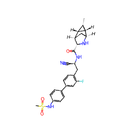 C[C@H]1[C@H]2[C@H]3C[C@H](N[C@@H]3C(=O)N[C@H](C#N)Cc3ccc(-c4ccc(NS(C)(=O)=O)cc4)cc3F)[C@@H]12